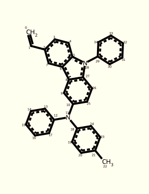 C=Cc1ccc2c(c1)c1cc(N(c3ccccc3)c3ccc(C)cc3)ccc1n2-c1ccccc1